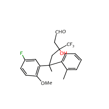 COc1ccc(F)cc1C(C)(CC(O)(CC=O)C(F)(F)F)c1ccccc1C